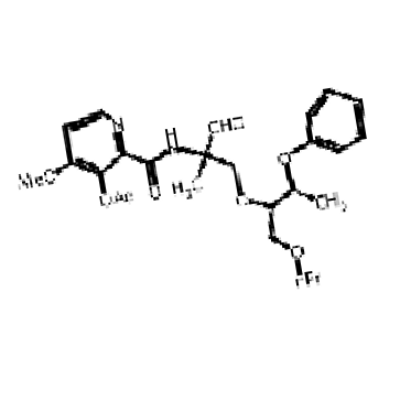 CCCOC[C@@H](OC[C@@](C)(C=O)NC(=O)c1nccc(OC)c1OC(C)=O)[C@H](C)Oc1ccccc1